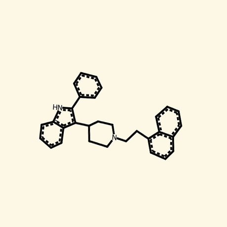 c1ccc(-c2[nH]c3ccccc3c2C2CCN(CCc3cccc4ccccc34)CC2)cc1